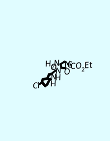 CCOC(=O)CN1C[C@@H](N)C(NC(=O)c2cc3cc(Cl)ccc3[nH]2)C1=O